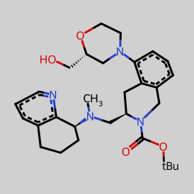 CN(C[C@H]1Cc2c(cccc2N2CCO[C@@H](CO)C2)CN1C(=O)OC(C)(C)C)[C@H]1CCCc2cccnc21